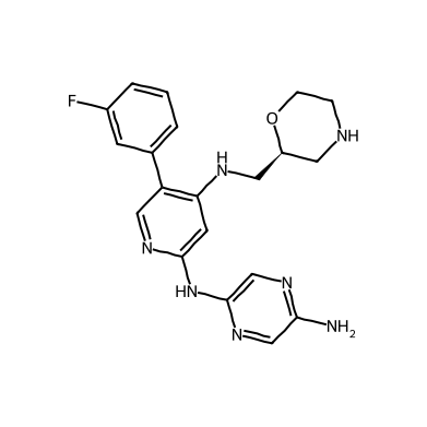 Nc1cnc(Nc2cc(NC[C@@H]3CNCCO3)c(-c3cccc(F)c3)cn2)cn1